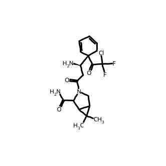 CC1(C)C2CN(C(=O)C[C@@H](N)C3(C(=O)C(F)(F)Cl)C=CC=CC3)C(C(N)=O)C21